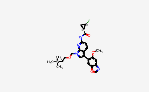 COc1cc2ncoc2cc1-c1cn(COCC[Si](C)(C)C)c2nc(NC(=O)[C@@H]3C[C@@H]3F)ccc12